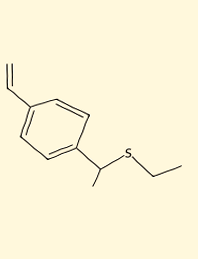 C=Cc1ccc(C(C)SCC)cc1